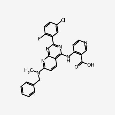 CN(Cc1ccccc1)c1ccc2c(Nc3ccncc3C(=O)O)nc(-c3cc(Cl)ccc3F)nc2n1